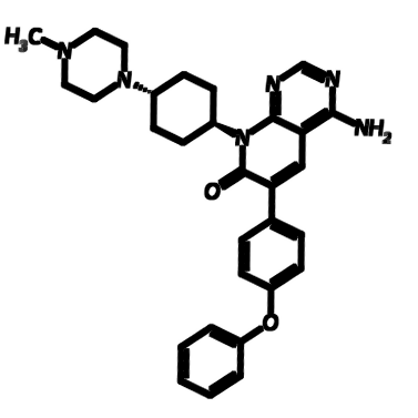 CN1CCN([C@H]2CC[C@H](n3c(=O)c(-c4ccc(Oc5ccccc5)cc4)cc4c(N)ncnc43)CC2)CC1